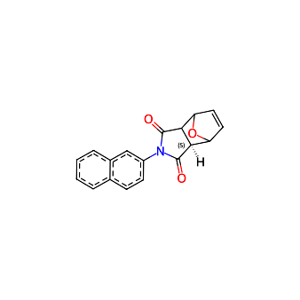 O=C1C2C3C=CC(O3)[C@H]2C(=O)N1c1ccc2ccccc2c1